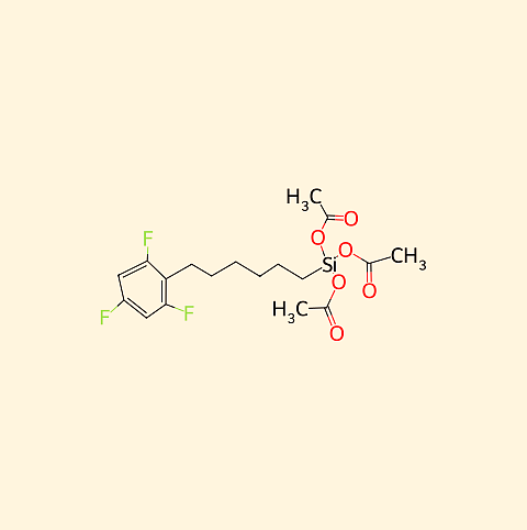 CC(=O)O[Si](CCCCCCc1c(F)cc(F)cc1F)(OC(C)=O)OC(C)=O